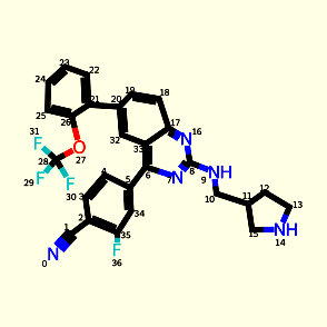 N#Cc1ccc(-c2nc(NCC3CCNC3)nc3ccc(-c4ccccc4OC(F)(F)F)cc23)cc1F